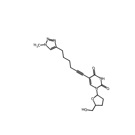 Cn1cc(CCCCC#Cc2cn(C3CCC(CO)O3)c(=O)[nH]c2=O)nn1